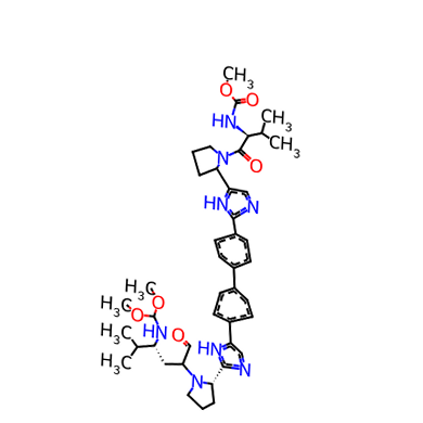 COC(=O)N[C@H](C(=O)N1CCCC1c1cnc(-c2ccc(-c3ccc(-c4cnc([C@@H]5CCCN5C(C=O)C[C@@H](NC(OC)OC)C(C)C)[nH]4)cc3)cc2)[nH]1)C(C)C